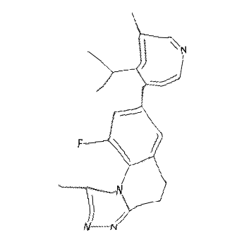 Cc1cncc(-c2cc(F)c3c(c2)CCc2nnc(C)n2-3)c1C(C)C